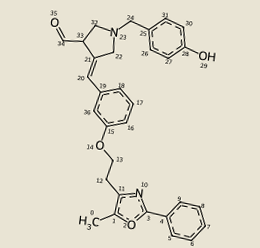 Cc1oc(-c2ccccc2)nc1CCOc1cccc(/C=C2\CN(Cc3ccc(O)cc3)CC2C=O)c1